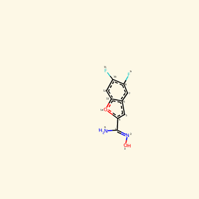 NC(=NO)c1cc2cc(F)c(F)cc2o1